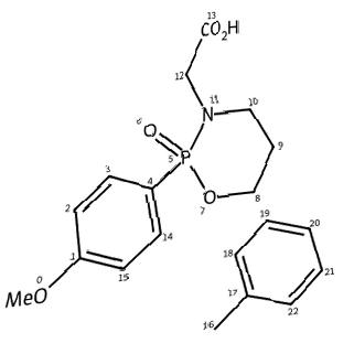 COc1ccc(P2(=O)OCCCN2CC(=O)O)cc1.Cc1ccccc1